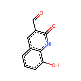 O=Cc1cc2cccc(O)c2[nH]c1=O